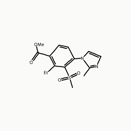 CCc1c(C(=O)OC)ccc(-n2ccnc2C)c1S(C)(=O)=O